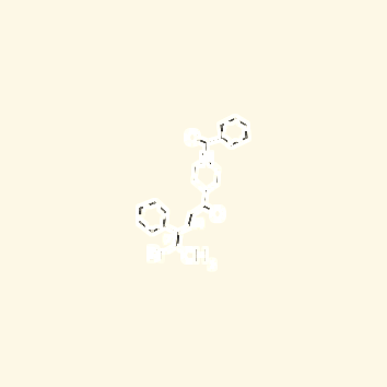 C/C(Br)=C(\C=C\C(=O)C1CCN(C(=O)c2ccccc2)CC1)c1ccccc1